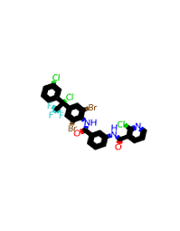 O=C(Nc1c(Br)cc(C(Cl)(c2cccc(Cl)c2)C(F)(F)F)cc1Br)c1cccc(NC(=O)c2cccnc2Cl)c1